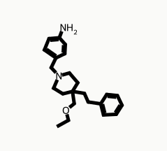 CCOCC1(CCc2ccccc2)CCN(Cc2ccc(N)cc2)CC1